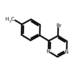 Cc1ccc(-c2ncncc2Br)cc1